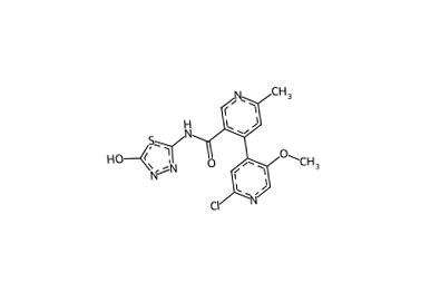 COc1cnc(Cl)cc1-c1cc(C)ncc1C(=O)Nc1nnc(O)s1